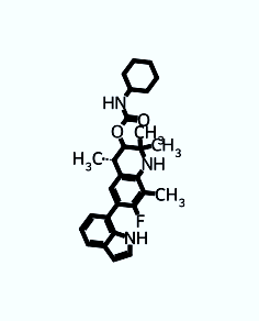 Cc1c(F)c(-c2cccc3cc[nH]c23)cc2c1NC(C)(C)C(OC(=O)NC1CCCCC1)[C@H]2C